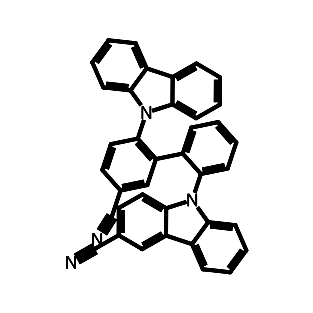 N#Cc1ccc(-n2c3ccccc3c3ccccc32)c(-c2ccccc2-n2c3ccccc3c3cc(C#N)ccc32)c1